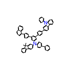 CC1(C)c2ccccc2-c2ccc(N(c3ccc(-c4ccccc4)cc3)c3cc(-c4ccc(-c5ccc6c7ccccc7n(-c7ccccc7)c6c5)cc4)cc(-c4ccc(-c5cccc6ccccc56)cc4)c3)cc21